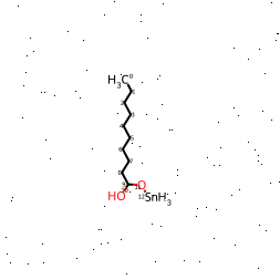 CCCCCCCCCC(O)[O][SnH3]